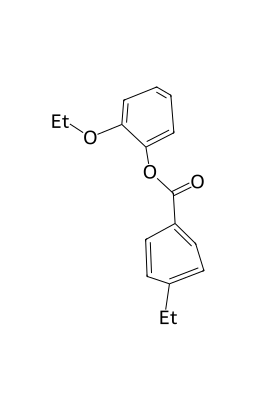 CCOc1ccccc1OC(=O)c1ccc(CC)cc1